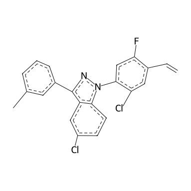 C=Cc1cc(Cl)c(-n2nc(-c3cccc(C)c3)c3cc(Cl)ccc32)cc1F